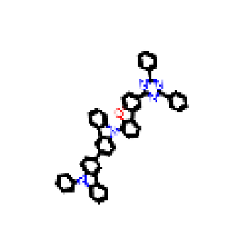 c1ccc(-c2nc(-c3ccccc3)nc(-c3ccc4oc5c(-n6c7ccccc7c7cc(-c8ccc9c(c8)c8ccccc8n9-c8ccccc8)ccc76)cccc5c4c3)n2)cc1